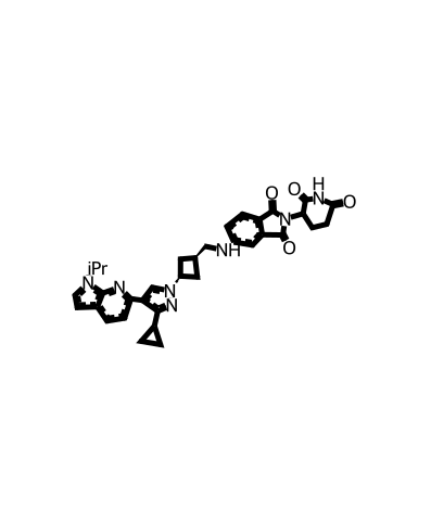 CC(C)n1ccc2ccc(-c3cn([C@H]4C[C@H](CNc5ccc6c(c5)C(=O)N(C5CCC(=O)NC5=O)C6=O)C4)nc3C3CC3)nc21